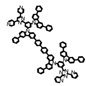 c1ccc(-c2ccc3c(c2)c2cc(-c4ccccc4)ccc2n3-c2cc(-c3nc(-c4ccncc4)cc(-c4ccncc4)n3)cc(-n3c4ccc(-c5ccccc5)cc4c4cc(-c5ccc(-c6ccc(-c7ccc8c(c7)c7cc(-c9ccccc9)ccc7n8-c7cc(-c8nc(-c9ccccn9)nc(-c9ccccn9)n8)cc(-n8c9ccc(-c%10ccccc%10)cc9c9cc(-c%10ccccc%10)ccc98)c7)cc6)cc5)ccc43)c2)cc1